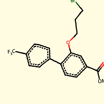 COC(=O)c1ccc(-c2ccc(C(F)(F)F)cc2)c(OCCCBr)c1